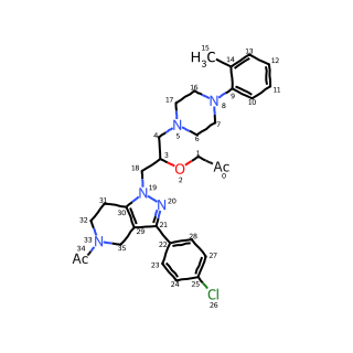 CC(=O)COC(CN1CCN(c2ccccc2C)CC1)Cn1nc(-c2ccc(Cl)cc2)c2c1CCN(C(C)=O)C2